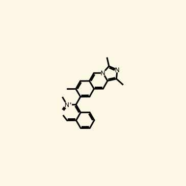 C=[N+](C)/C(c1cc2cc3c(C)nc(C)n3cc2cc1C)=c1/cccc/c1=C/C